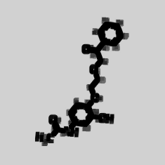 CC(=O)Nc1ccc(OCCOCC(=O)c2ccccc2)c(O)c1